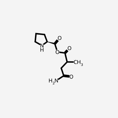 CC(CC(N)=O)C(=O)OC(=O)[C@@H]1CCCN1